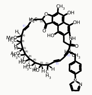 CO[C@H]1/C=C/O[C@@]2(C)Oc3c(C)c(O)c4c(O)c(c(CCNCc5ccc(-n6cccn6)cc5)c(O)c4c3C2=O)NC(=O)/C(C)=C\C=C\[C@H](C)[C@H](O)[C@@H](C)[C@@H](O)[C@@H](C)[C@H](OC(C)=O)[C@@H]1C